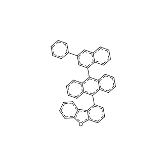 c1ccc(-c2cc(-c3c4ccccc4c(-c4cccc5oc6ccccc6c45)c4ccccc34)c3ccccc3c2)cc1